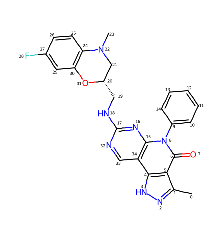 Cc1n[nH]c2c1c(=O)n(-c1ccccc1)c1nc(NC[C@H]3CN(C)c4ccc(F)cc4O3)ncc21